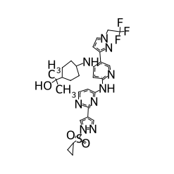 CC(C)(O)C1CCC(Nc2cc(Nc3ccnc(-c4cnn(S(=O)(=O)C5CC5)c4)n3)ncc2-c2ccn(CC(F)(F)F)n2)CC1